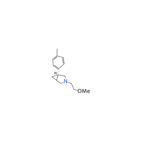 COCCN1CC2C[C@@]2(c2ccc(C)cc2)C1